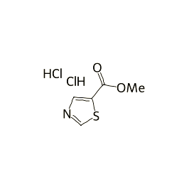 COC(=O)c1cncs1.Cl.Cl